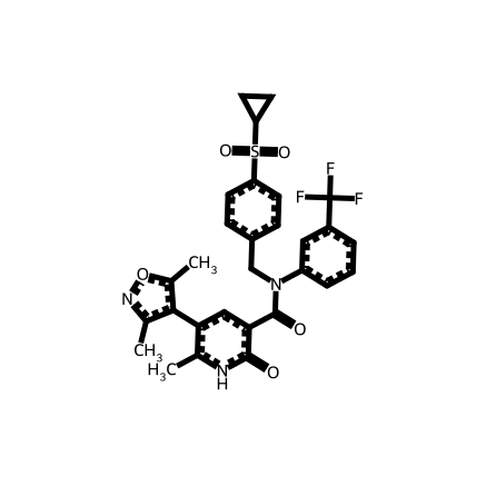 Cc1noc(C)c1-c1cc(C(=O)N(Cc2ccc(S(=O)(=O)C3CC3)cc2)c2cccc(C(F)(F)F)c2)c(=O)[nH]c1C